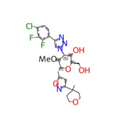 CO[C@@H]1[C@@H](n2cc(-c3ccc(Cl)c(F)c3F)nn2)[C@@H](O)[C@@H](CO)O[C@@H]1Cc1cc(C2(C)CCOCC2)no1